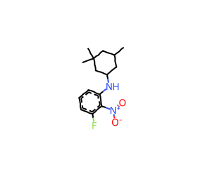 CC1CC(Nc2cccc(F)c2[N+](=O)[O-])CC(C)(C)C1